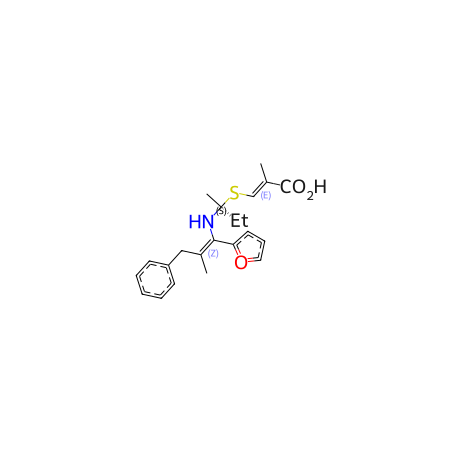 CC[C@@](C)(N/C(=C(/C)Cc1ccccc1)c1ccco1)S/C=C(\C)C(=O)O